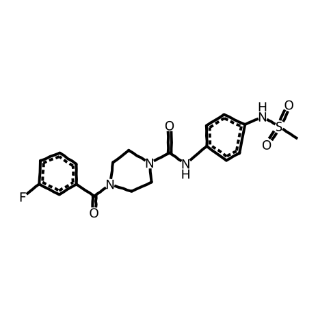 CS(=O)(=O)Nc1ccc(NC(=O)N2CCN(C(=O)c3cccc(F)c3)CC2)cc1